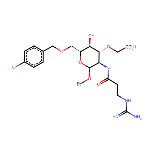 CCO[C@H]1O[C@H](COCc2ccc(Cl)cc2)[C@@H](O)[C@H](OCC(=O)O)[C@H]1NC(=O)CCNC(=N)N